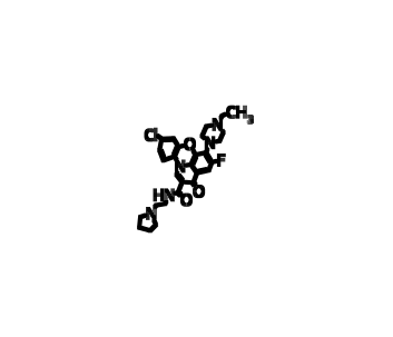 CCN1CCN(c2c(F)cc3c(=O)c(C(=O)NCCN4CCCC4)cn4c3c2Oc2cc(Cl)ccc2-4)CC1